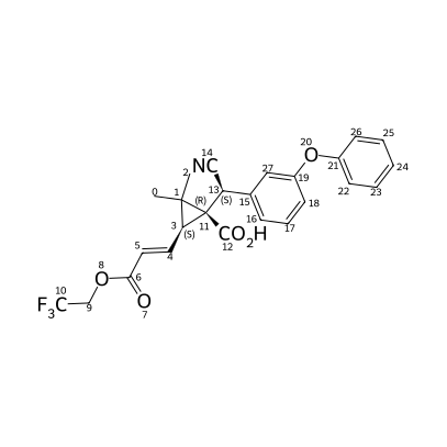 CC1(C)[C@H](C=CC(=O)OCC(F)(F)F)[C@@]1(C(=O)O)[C@@H](C#N)c1cccc(Oc2ccccc2)c1